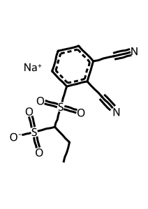 CCC(S(=O)(=O)[O-])S(=O)(=O)c1cccc(C#N)c1C#N.[Na+]